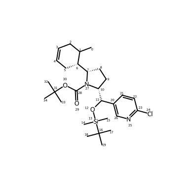 CC1CC=CC[C@H]1[C@@H]1CC[C@H](C(O[Si](C)(C)C(C)(C)C)c2ccc(Cl)nc2)N1C(=O)OC(C)(C)C